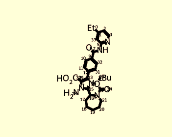 CCc1ccnc(NC(=O)c2ccc(-c3nc(C4CCCCCN4C(=O)OC(C)(C)C)n(N)c3C(=O)O)cc2)c1